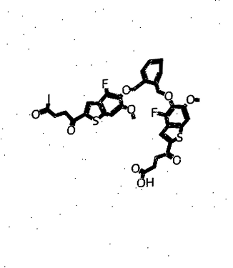 COc1cc2sc(C(=O)CCC(=O)O)cc2c(F)c1OCc1ccccc1COc1c(OC)cc2sc(C(=O)CCC(=O)I)cc2c1F